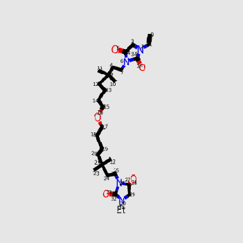 C=CN1CC(=O)N(CCC(C)(C)CCCCOCCCCC(C)(C)CCN2C(=O)CN(CC)C2=O)C1=O